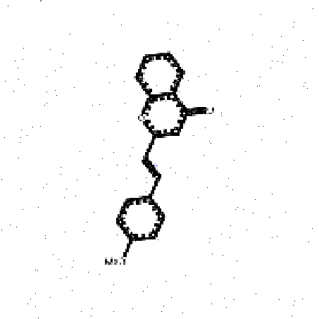 COc1ccc(/C=C/c2cc(=O)c3ccccc3o2)cc1